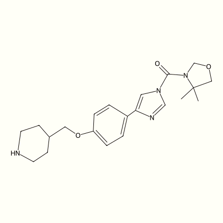 CC1(C)COCN1C(=O)n1cnc(-c2ccc(OCC3CCNCC3)cc2)c1